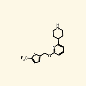 FC(F)(F)c1ccc(COc2cccc(C3CCNCC3)n2)s1